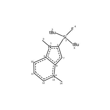 Cn1c([Si](F)(C(C)(C)C)C(C)(C)C)cc2c1ccc[n+]2C